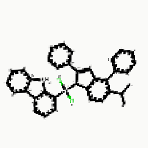 CC(C)c1ccc2c(c1-c1ccccc1)C=C(c1ccccc1)[CH]2[Zr]([Cl])([Cl])[c]1cccc2c1[SiH2]c1ccccc1-2